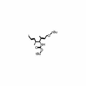 CCCCOC/C=C(\C)[C@@H](NC(=O)OC(C)(C)C)[C@@H](C)/C=C/I